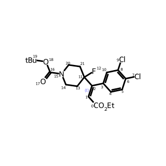 CCOC(=O)/C=C(\c1ccc(Cl)c(Cl)c1)C1(F)CCN(C(=O)OC(C)(C)C)CC1